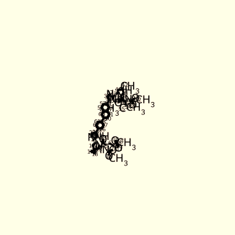 COC(=O)N[C@H](CCS(C)(=O)=O)C(=O)N1CC2(CC2)C[C@@H]1c1ncc(-c2ccc(-c3ccc4cc(-c5cnc([C@H]6C[C@@H](C)CN6C(=O)[C@H](NC(=O)OC)C(C)C)[nH]5)ccc4c3)cc2)[nH]1